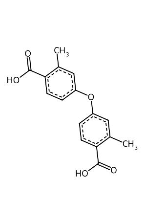 Cc1cc(Oc2ccc(C(=O)O)c(C)c2)ccc1C(=O)O